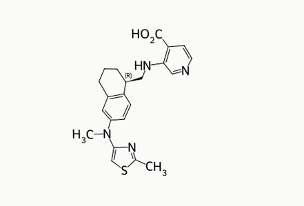 Cc1nc(N(C)c2ccc3c(c2)CCC[C@H]3CNc2cnccc2C(=O)O)cs1